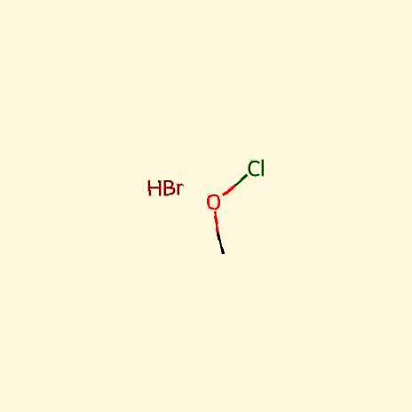 Br.COCl